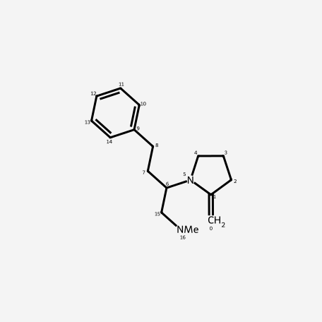 C=C1CCCN1C(CCc1ccccc1)CNC